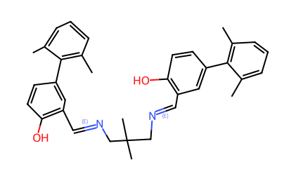 Cc1cccc(C)c1-c1ccc(O)c(/C=N/CC(C)(C)C/N=C/c2cc(-c3c(C)cccc3C)ccc2O)c1